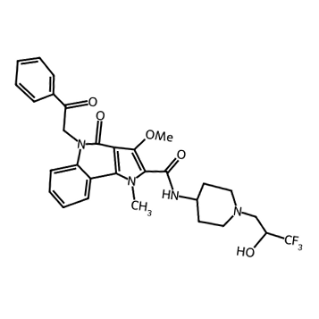 COc1c(C(=O)NC2CCN(CC(O)C(F)(F)F)CC2)n(C)c2c1c(=O)n(CC(=O)c1ccccc1)c1ccccc21